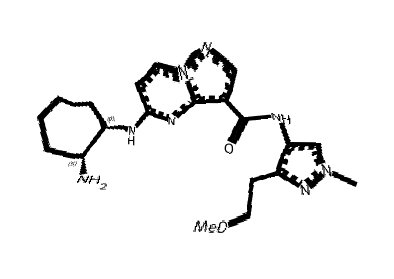 COCCc1nn(C)cc1NC(=O)c1cnn2ccc(N[C@@H]3CCCC[C@@H]3N)nc12